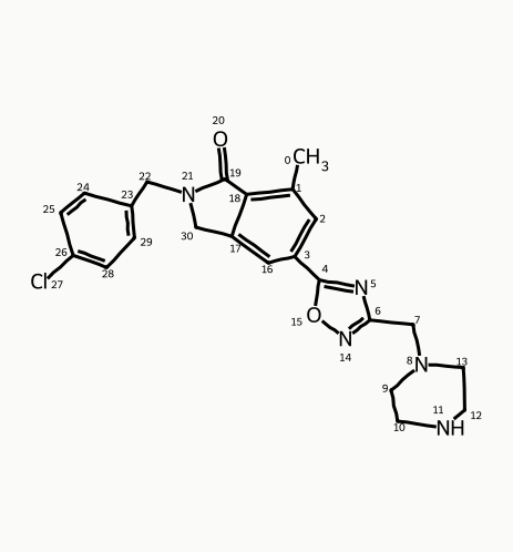 Cc1cc(-c2nc(CN3CCNCC3)no2)cc2c1C(=O)N(Cc1ccc(Cl)cc1)C2